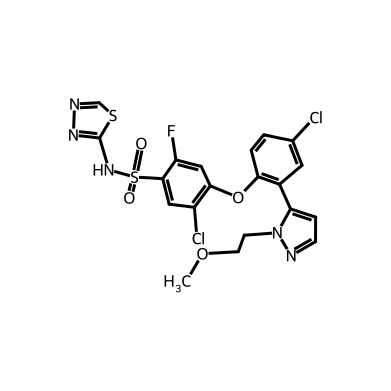 COCCn1nccc1-c1cc(Cl)ccc1Oc1cc(F)c(S(=O)(=O)Nc2nncs2)cc1Cl